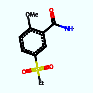 CCS(=O)(=O)c1ccc(OC)c(C([NH])=O)c1